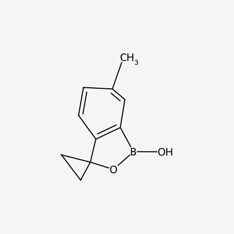 Cc1ccc2c(c1)B(O)OC21CC1